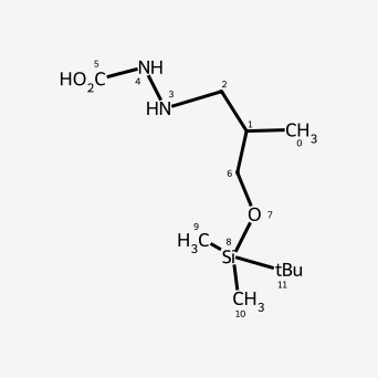 CC(CNNC(=O)O)CO[Si](C)(C)C(C)(C)C